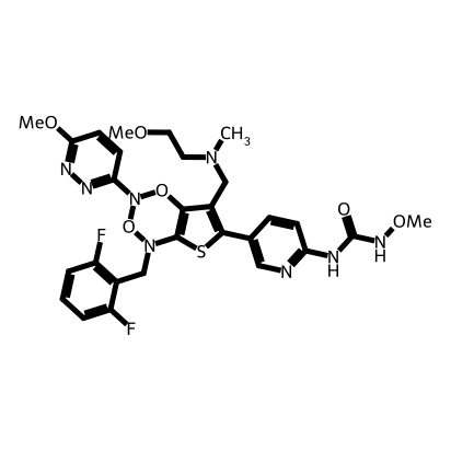 COCCN(C)Cc1c(-c2ccc(NC(=O)NOC)nc2)sc2c1on(-c1ccc(OC)nn1)on2Cc1c(F)cccc1F